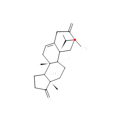 CC(=O)OC(CC#N)[C@]12CCC(=O)CC1=CC[C@@H]1[C@@H]2CC[C@]2(C)C(=O)CC[C@@H]12